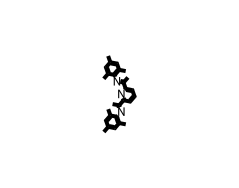 CC(=Nc1c(C)cc(C)cc1C)c1cccc(C(C)=Nc2c(C)cc(C)cc2C)n1